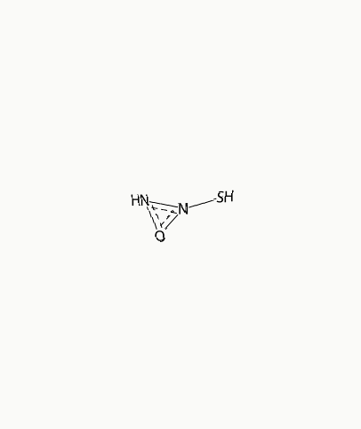 Sn1[nH]o1